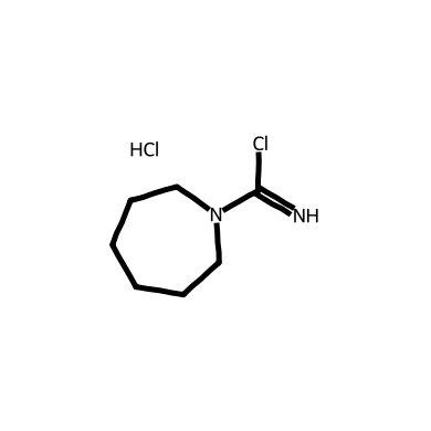 Cl.N=C(Cl)N1CCCCCC1